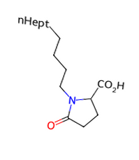 CCCCCCCCCCCN1C(=O)CCC1C(=O)O